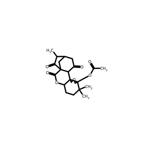 CC(=O)OC1OCC23C(CCC(C)(C)C12)OC(=O)C12CC(CC(=O)C13)C(C)C2=O